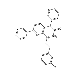 NC(=O)C(c1cccnc1)c1ccc(-c2ccccc2)nc1NCCc1cccc(F)c1